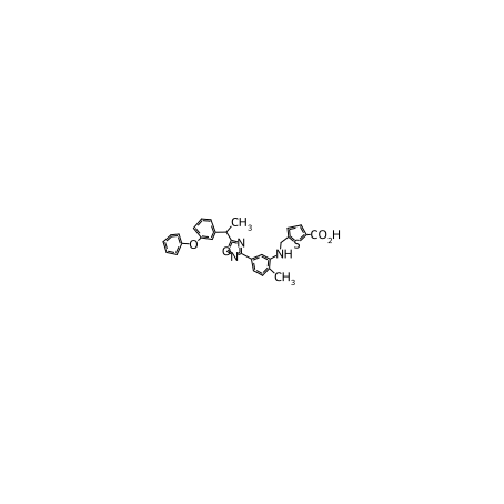 Cc1ccc(-c2noc(C(C)c3cccc(Oc4ccccc4)c3)n2)cc1NCc1ccc(C(=O)O)s1